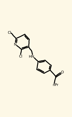 CCCC(=O)c1ccc(NCc2ccc(Cl)nc2Cl)cc1